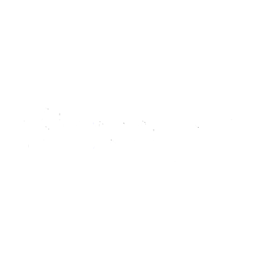 C=N/C=C(F)\C(=N/CNc1ccc(C(C)C2CCN(CCO)CC2)cn1)c1cc(F)c2nc(C)n(C(C)C)c2c1